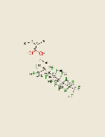 CCC(C)C(=O)OCCC(C(F)(F)F)C(F)(F)C(F)(F)C(F)(F)C(F)(F)C(F)(F)C(F)F